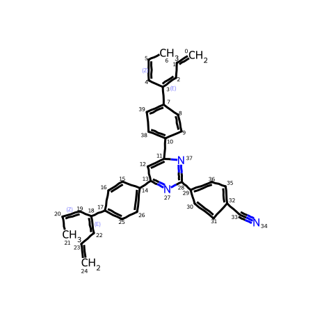 C=C/C=C(\C=C/C)c1ccc(-c2cc(-c3ccc(C(/C=C\C)=C/C=C)cc3)nc(-c3ccc(C#N)cc3)n2)cc1